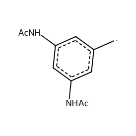 [CH2]c1cc(NC(C)=O)cc(NC(C)=O)c1